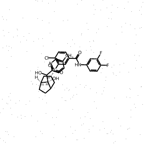 Cc1ccc(C(O)[C@@]2(O)C3CC[C@H]2C[C@H](S(=O)(=O)c2cc(C(=O)Nc4ccc(F)c(F)c4)ccc2Cl)C3)nc1